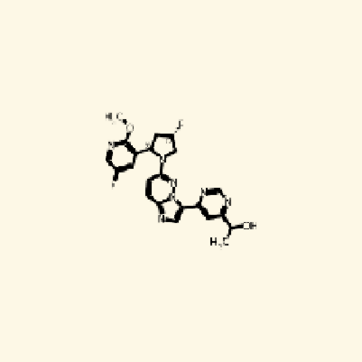 COc1ncc(F)cc1[C@H]1C[C@H](F)CN1c1ccc2ncc(-c3cc(C(C)O)ncn3)n2n1